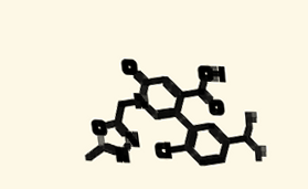 Cc1nnc(Cn2cc(-c3cc(C(F)F)ccc3Cl)c(C(=O)O)cc2=O)o1